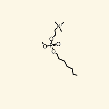 CCCCCCCOP(=O)(OC)OCC[N+](C)(C)C